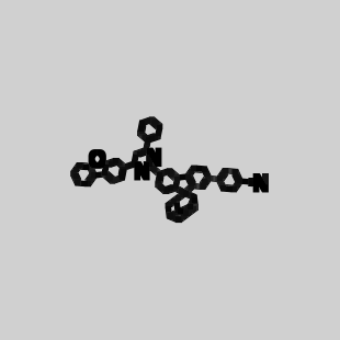 N#Cc1ccc(-c2ccc3c(c2)C2(c4ccc(-c5nc(-c6ccccc6)cc(-c6ccc7c(c6)oc6ccccc67)n5)cc4-3)C3CC4CC(C3)CC2C4)cc1